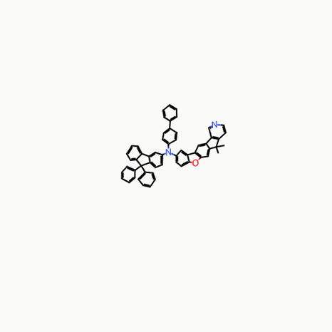 CC1(C)c2ccncc2-c2cc3c(cc21)oc1ccc(N(c2ccc(-c4ccccc4)cc2)c2ccc4c(c2)-c2ccccc2C4(c2ccccc2)c2ccccc2)cc13